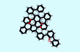 c1ccc(-c2ccccc2-c2cc(-c3cccc(-c4cccc5c4oc4ccccc45)c3)c3ccc4c(-c5ccccc5-c5ccccc5)cc(-c5ccccc5-c5ccccc5)c5ccc2c3c45)cc1